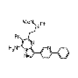 CC[C@H](CCc1nc2c(-c3ccc(-c4ccccc4)nc3)cnn2c(N)c1C(C)C)NC